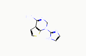 NC1=NCN(c2ncc[nH]2)c2sccc21